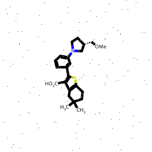 COC[C@H]1CCN(c2cccc(-c3sc4c(c3C(=O)O)CC(C)(C)CC4)c2)C1